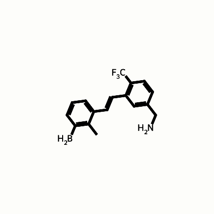 Bc1cccc(/C=C/c2cc(CN)ccc2C(F)(F)F)c1C